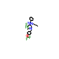 CCCCn1c(-c2ccccc2)nc(C(F)(F)F)c1CN(CC)Cc1ccc(OC(F)F)cc1